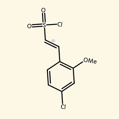 COc1cc(Cl)ccc1/C=C/S(=O)(=O)Cl